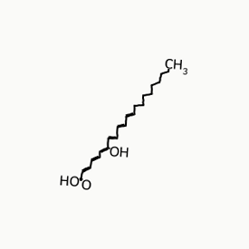 CCCCCCCCC/C=C/C=C/C=C/C(O)=C/C=C/C=C/C(=O)O